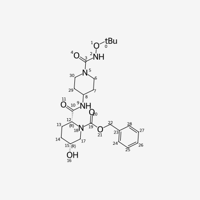 CC(C)(C)ONC(=O)N1CCC(NC(=O)[C@H]2CC[C@@H](O)CN2C(=O)OCc2ccccc2)CC1